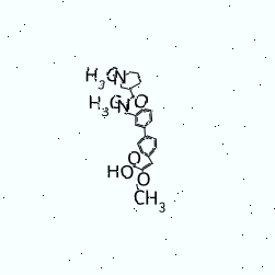 CCO/C(=C/c1ccc(-c2cccc(CN(C)C(=O)C3CCCN(C)C3)c2)cc1)C(=O)O